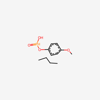 CCCC.COc1ccc(O[PH](=O)O)cc1